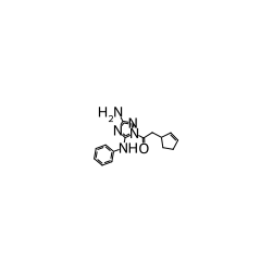 Nc1nc(Nc2ccccc2)n(C(=O)CC2C=CCC2)n1